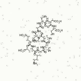 CC(C)C[C@H](NC(=O)[C@H](CC(=O)O)NC(=O)[C@H](CC(C)C)NC(=O)CNC(=O)[C@@H]1CCCN1C(=O)[C@H](CC(C)C)NC(=O)[C@H](CC(C)C)NC(=O)[C@H](CCCCN)NC(=O)[C@H](CCC(=O)O)NC(=O)[C@@H](N)CCC(=O)O)C(=O)O